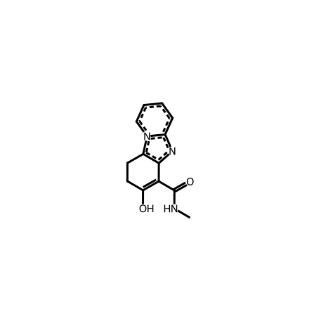 CNC(=O)C1=C(O)CCc2c1nc1ccccn21